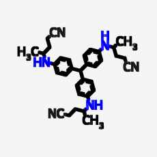 CC(CCC#N)Nc1ccc(C(c2ccc(NC(C)CCC#N)cc2)c2ccc(NC(C)CCC#N)cc2)cc1